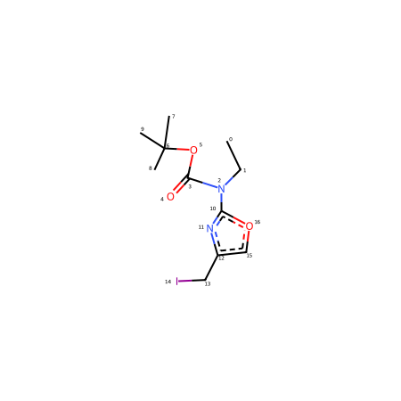 CCN(C(=O)OC(C)(C)C)c1nc(CI)co1